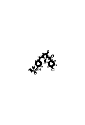 C=CS(=O)(=O)Nc1ccc(Cc2cc(C)c(C(=O)c3ccc(Cl)cc3)n2C)cc1